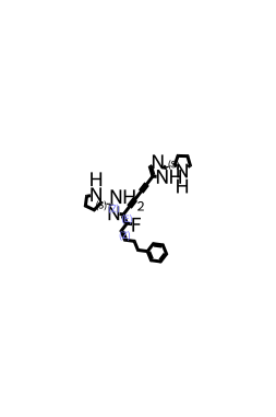 N\C(=N/C(C#CC#Cc1cnc([C@@H]2CCCN2)[nH]1)=C(F)\C=C/CCc1ccccc1)[C@@H]1CCCN1